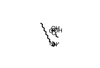 CCCCCCCCCCCn1cc[n+](C)c1.CCCOP(=O)(O)O